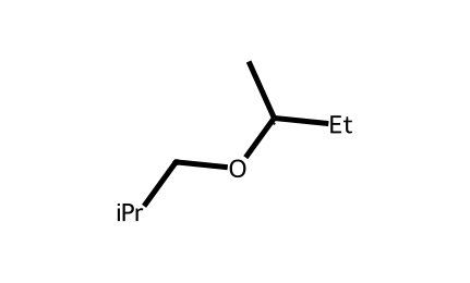 CC[C](C)OCC(C)C